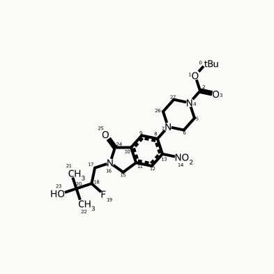 CC(C)(C)OC(=O)N1CCN(c2cc3c(cc2[N+](=O)[O-])CN(CC(F)C(C)(C)O)C3=O)CC1